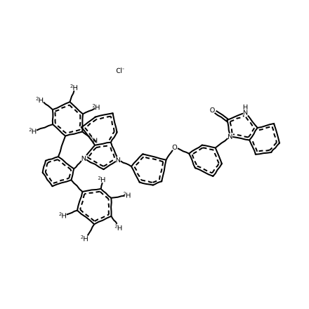 [2H]c1c([2H])c([2H])c(-c2cccc(-c3c([2H])c([2H])c([2H])c([2H])c3[2H])c2-[n+]2cn(-c3cccc(Oc4cccc(-n5c(=O)[nH]c6ccccc65)c4)c3)c3ccccc32)c([2H])c1[2H].[Cl-]